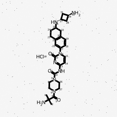 CC(C)(N)C(=O)N1CCN(C(=O)Nc2ccn(-c3ccc4c(c3)CCC(N[C@H]3C[C@H](N)C3)C4)c(=O)n2)CC1.Cl